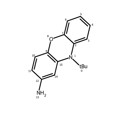 CC(C)(C)N1c2ccccc2Oc2ccc(N)cc21